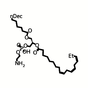 CC/C=C\C/C=C\C/C=C\CCCCCCCC(=O)O[C@H](COC(=O)CCCCCCCCCCCCCCC)COP(=O)(O)OCCN